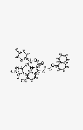 Cc1nn(C)c(C)c1-c1c(Cl)ccc2c(CCCOc3cccc4ccccc34)c(C(=O)O)n(CCN3CCN(C)CC3)c12